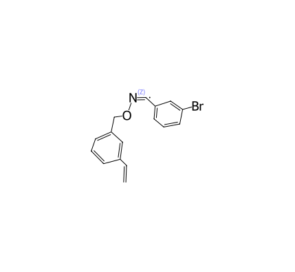 C=Cc1cccc(CO/N=[C]\c2cccc(Br)c2)c1